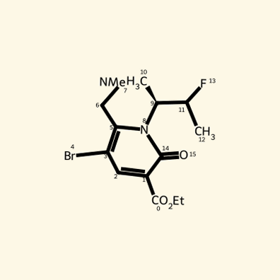 CCOC(=O)c1cc(Br)c(CNC)n([C@@H](C)C(C)F)c1=O